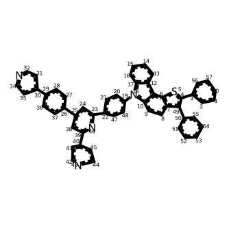 c1ccc(-c2sc3c(ccc4c3c3ccccc3n4-c3ccc(-c4cc(-c5ccc(-c6ccncc6)cc5)cc(-c5ccncc5)n4)cc3)c2-c2ccccc2)cc1